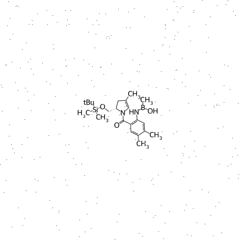 CB(O)Nc1cc(C)c(C)cc1C(=O)N1C=C(C)C[C@H]1CO[Si](C)(C)C(C)(C)C